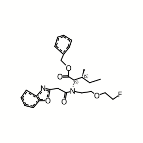 CC[C@H](C)[C@@H](C(=O)OCc1ccccc1)N(CCOCCF)C(=O)Cc1nc2ccccc2o1